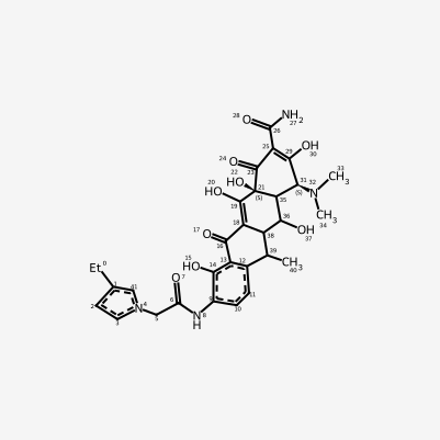 CCc1ccn(CC(=O)Nc2ccc3c(c2O)C(=O)C2=C(O)[C@]4(O)C(=O)C(C(N)=O)=C(O)[C@@H](N(C)C)C4C(O)C2C3C)c1